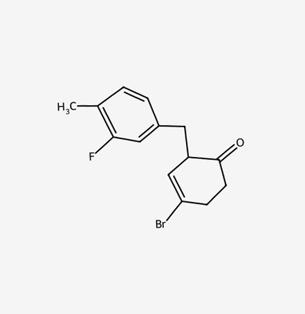 Cc1ccc(CC2C=C(Br)CCC2=O)cc1F